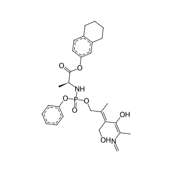 C=N/C(C)=C(O)\C(CO)=C(/C)COP(=O)(N[C@@H](C)C(=O)Oc1ccc2c(c1)CCCC2)Oc1ccccc1